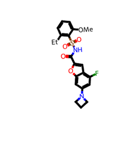 CCc1cccc(OC)c1S(=O)(=O)NC(=O)c1cc2c(F)cc(N3CCC3)cc2o1